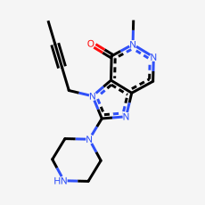 CC#CCn1c(N2CCNCC2)nc2cnn(C)c(=O)c21